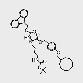 CC(C)(C)OC(=O)NCCCC[C@H](NC(=O)OCC1c2ccccc2-c2ccccc21)C(=O)OCc1ccc(OCC2CCCCCCCC2)cc1